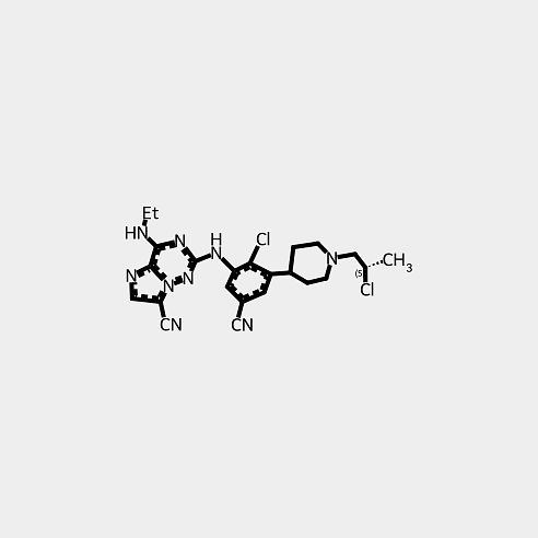 CCNc1nc(Nc2cc(C#N)cc(C3CCN(C[C@H](C)Cl)CC3)c2Cl)nn2c(C#N)cnc12